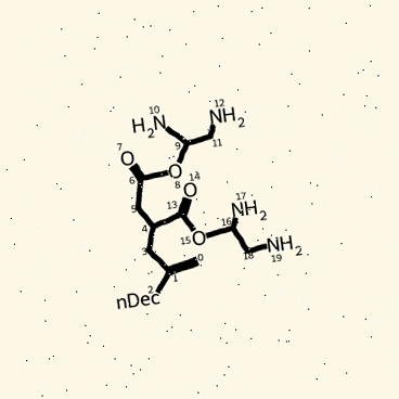 C=C(CCCCCCCCCC)CC(CC(=O)OC(N)CN)C(=O)OC(N)CN